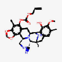 C=CCOC(=O)Oc1c(C)c2c(c3c1CC1C4N[C@H](Cc5cc(C)c(OC)c(O)c54)[C@H](C#N)N1[C@H]3CN)OCO2